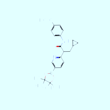 CC1(C)OB(c2ccc(C(CC3CC3)C(=O)Nc3ccc(C(=O)O)cc3)nc2)OC1(C)C